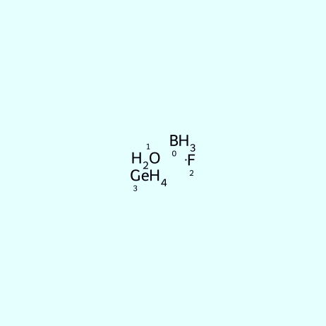 B.O.[F].[GeH4]